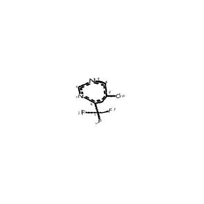 FC(F)(F)c1ncn[c]c1Cl